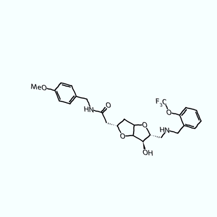 COc1ccc(CNC(=O)C[C@@H]2CC3O[C@H](CNCc4ccccc4OC(F)(F)F)[C@@H](O)C3O2)cc1